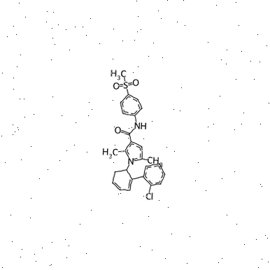 Cc1cc(C(=O)Nc2ccc(S(C)(=O)=O)cc2)c(C)n1C1CC=CC=C1c1ccccc1Cl